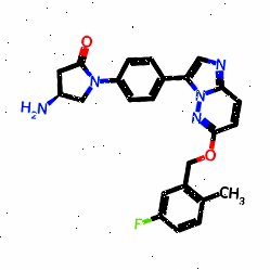 Cc1ccc(F)cc1COc1ccc2ncc(-c3ccc(N4C[C@@H](N)CC4=O)cc3)n2n1